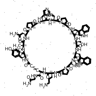 CCCC[C@H]1C(=O)N2CCC[C@@H]2C(=O)N[C@@H](CCCN)C(=O)N[C@H](C(=O)NCC(N)=O)CSCC(=O)N[C@@H](Cc2ccc(O)cc2)C(=O)N(C)[C@@H](C)C(=O)N[C@@H](CC(N)=O)C(=O)N2CCC[C@H]2C(=O)N[C@@H](Cc2cnc[nH]2)C(=O)N[C@@H](CC(C)C)C(=O)N2CCC[C@H]2C(=O)N[C@@H](Cc2c[nH]c3ccccc23)C(=O)N[C@@H](CO)C(=O)N[C@@H](Cc2c[nH]c3ccccc23)C(=O)N1C